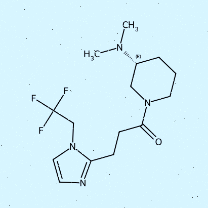 CN(C)[C@@H]1CCCN(C(=O)CCc2nccn2CC(F)(F)F)C1